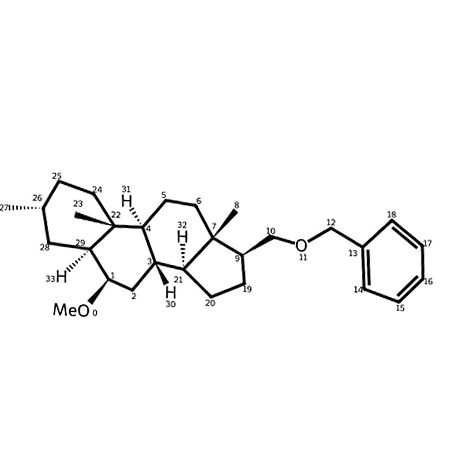 CO[C@@H]1C[C@@H]2[C@H](CC[C@]3(C)[C@@H](COCc4ccccc4)CC[C@@H]23)[C@@]2(C)CC[C@@H](C)C[C@H]12